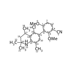 COc1ccc(C#N)c(OC)c1-c1cc(C)c2c(c1Cl)C(C)CC(C)(C)N2